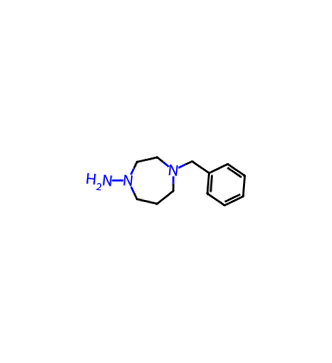 NN1CCCN(Cc2ccccc2)CC1